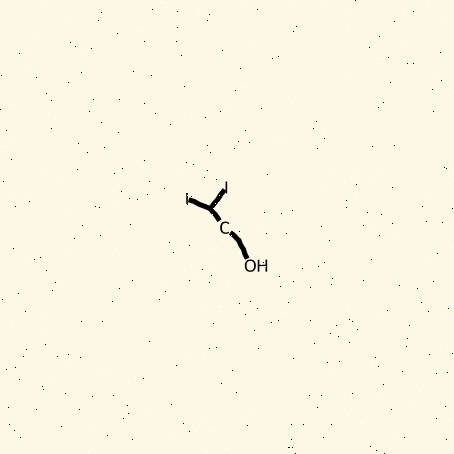 OCCC(I)I